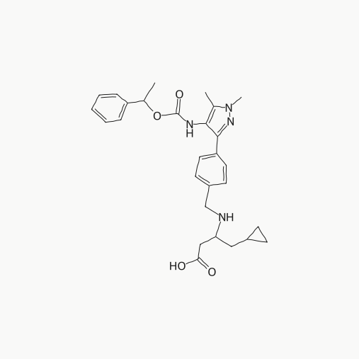 Cc1c(NC(=O)OC(C)c2ccccc2)c(-c2ccc(CNC(CC(=O)O)CC3CC3)cc2)nn1C